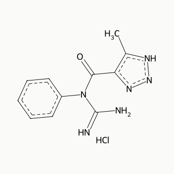 Cc1[nH]nnc1C(=O)N(C(=N)N)c1ccccc1.Cl